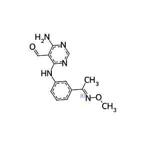 CO/N=C(\C)c1cccc(Nc2ncnc(N)c2C=O)c1